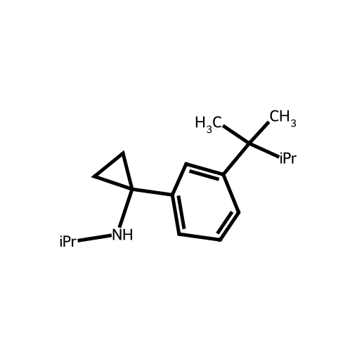 CC(C)NC1(c2cccc(C(C)(C)C(C)C)c2)CC1